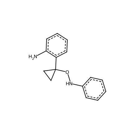 Nc1ccccc1C1(ONc2ccccc2)CC1